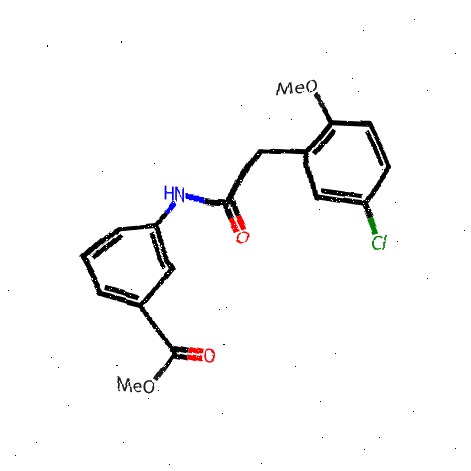 COC(=O)c1cccc(NC(=O)Cc2cc(Cl)ccc2OC)c1